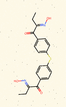 CCC(=NO)C(=O)c1ccc(Sc2ccc(C(=O)C(CC)=NO)cc2)cc1